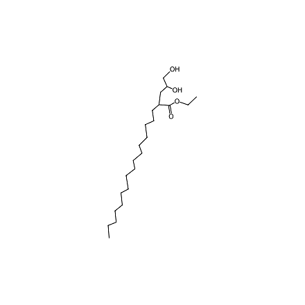 CCCCCCCCCCCCCCCCC(CC(O)CO)C(=O)OCC